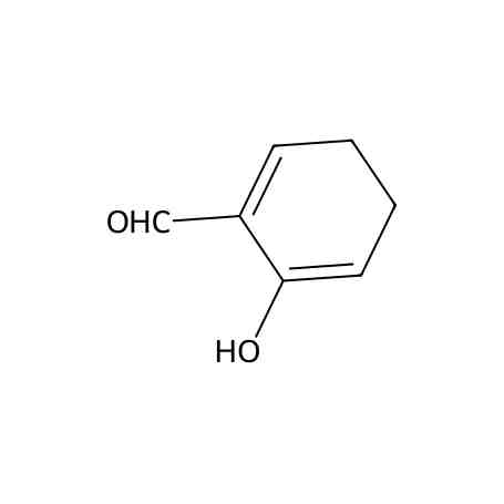 O=CC1=CCCC=C1O